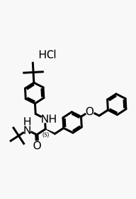 CC(C)(C)NC(=O)[C@H](Cc1ccc(OCc2ccccc2)cc1)NCc1ccc(C(C)(C)C)cc1.Cl